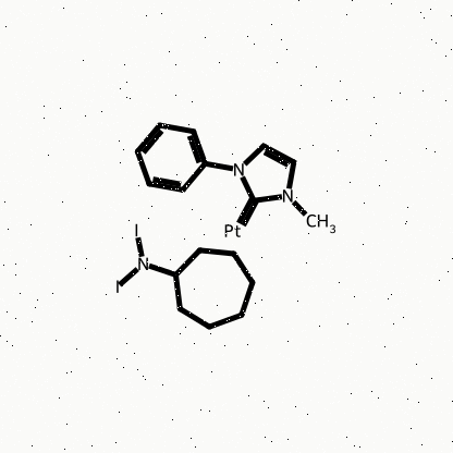 Cn1ccn(-c2ccccc2)[c]1=[Pt].IN(I)C1CCCCCC1